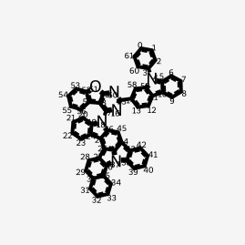 c1ccc(-n2c3ccccc3c3ccc(-c4nc(-n5c6ccccc6c6c7c8ccc9ccccc9c8n8c9ccccc9c(cc65)c78)c5c(n4)oc4ccccc45)cc32)cc1